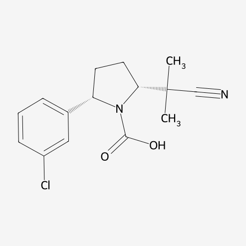 CC(C)(C#N)[C@H]1CC[C@@H](c2cccc(Cl)c2)N1C(=O)O